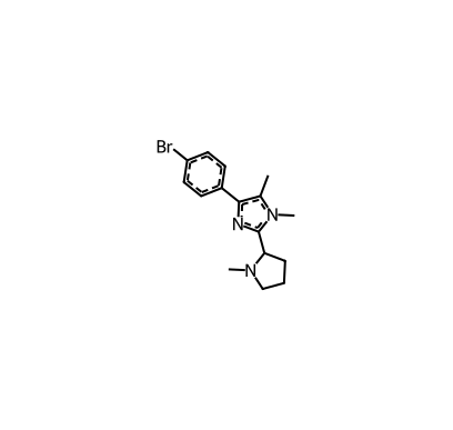 Cc1c(-c2ccc(Br)cc2)nc(C2CCCN2C)n1C